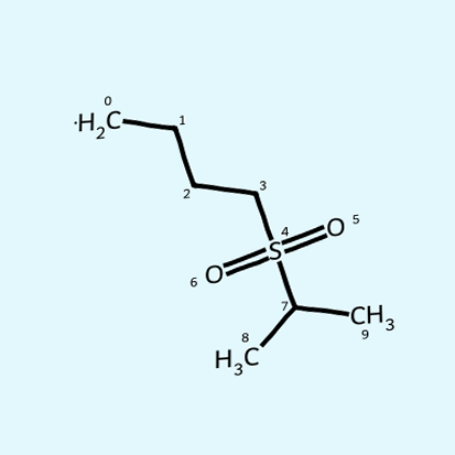 [CH2]CCCS(=O)(=O)C(C)C